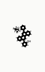 O=S(=O)(Oc1ccccc1-c1cc2c3ccccc3c(-c3ccccc3O)cc2c2ccccc12)C(F)(F)F